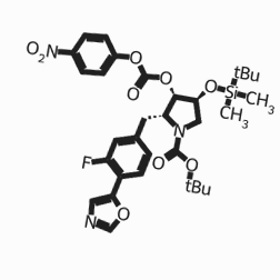 CC(C)(C)OC(=O)N1C[C@H](O[Si](C)(C)C(C)(C)C)[C@@H](OC(=O)Oc2ccc([N+](=O)[O-])cc2)[C@H]1Cc1ccc(-c2cnco2)c(F)c1